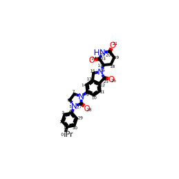 CC(C)c1ccc(N2CCN(c3ccc4c(c3)CN(C3CCC(=O)NC3=O)C4=O)C2=O)cc1